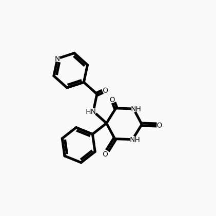 O=C1NC(=O)C(NC(=O)c2ccncc2)(c2ccccc2)C(=O)N1